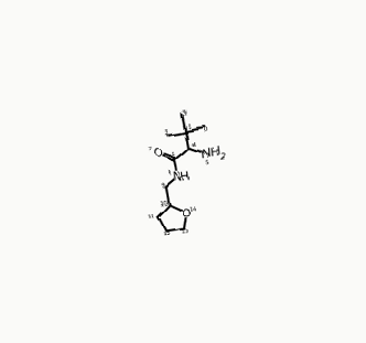 CC(C)(C)C(N)C(=O)NCC1CCCO1